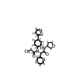 O=C(N[C@H]1CCOC1)[C@H](c1cnccn1)N(C(=O)CCl)c1ccc(-c2ccno2)cc1